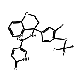 O=C(NC1(c2ccc(OC(F)(F)F)c(F)c2)CCOc2cccnc21)c1ccc(=O)[nH]c1